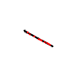 CCCCCCCCCCCCCCCCCCC[CH]CCCCCCCCCCCCCCCCCCCC